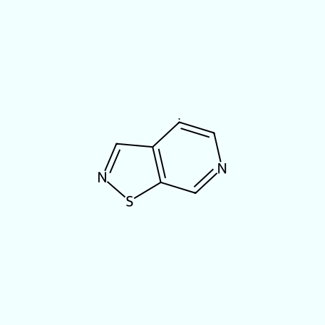 [c]1cncc2sncc12